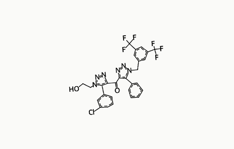 O=C(c1nnn(CCO)c1-c1cccc(Cl)c1)c1nnn(Cc2cc(C(F)(F)F)cc(C(F)(F)F)c2)c1-c1ccccc1